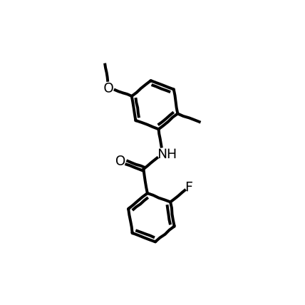 COc1ccc(C)c(NC(=O)c2ccccc2F)c1